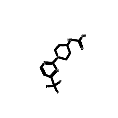 O=C(O)NC1CCN(c2nccc(C(F)(F)F)n2)CC1